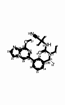 CCN(C(=O)NC(C)(C)C#N)[C@H](C)c1cccc(-c2cn3ccnc3c(OC)n2)c1